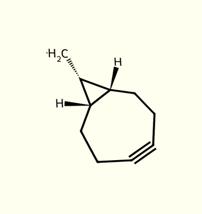 [CH2][C@H]1[C@H]2CCC#CCC[C@@H]12